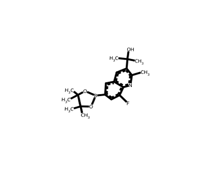 Cc1nc2c(F)cc(B3OC(C)(C)C(C)(C)O3)cc2cc1C(C)(C)O